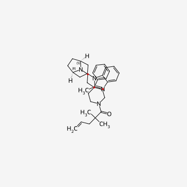 C=CCC(C)(C)C(=O)N1CCC(CCN2[C@@H]3CC[C@H]2CC(n2c(C)nc4ccccc42)C3)(c2ccccc2)CC1